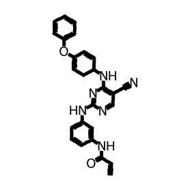 C=CC(=O)Nc1cccc(Nc2ncc(C#N)c(NC3C=CC(Oc4ccccc4)=CC3)n2)c1